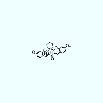 COc1ccc2c(c1)O[C@@H]1C(=C2)C(=O)C2=Cc3ccc(OC)cc3O[C@@H]2C12CCCCC2